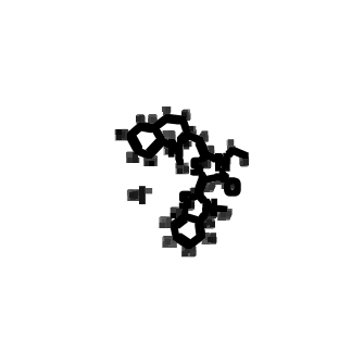 CCn1c(=Cc2ccc3ccccc3[n+]2C)sc(=C2Sc3ccccc3N2C)c1=O.[I-]